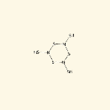 SN1SN(S)SN(S)S1